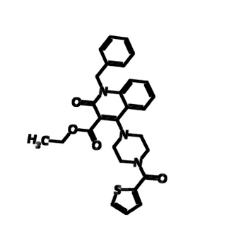 CCOC(=O)c1c(N2CCN(C(=O)c3cccs3)CC2)c2ccccc2n(Cc2ccccc2)c1=O